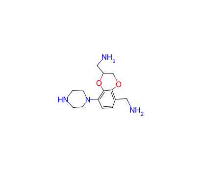 NCc1ccc(N2CCNCC2)c2c1OCC(CN)O2